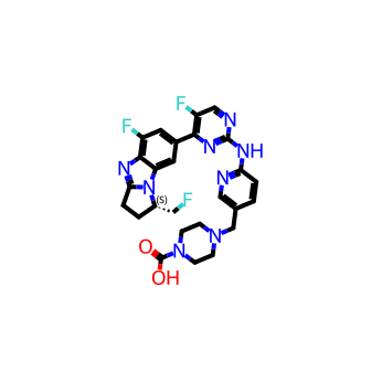 O=C(O)N1CCN(Cc2ccc(Nc3ncc(F)c(-c4cc(F)c5nc6n(c5c4)[C@H](CF)CC6)n3)nc2)CC1